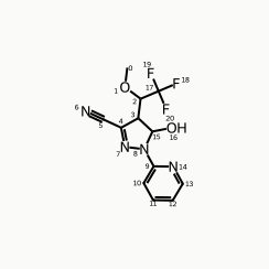 COC(C1C(C#N)=NN(c2ccccn2)C1O)C(F)(F)F